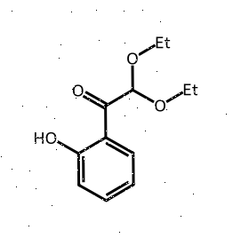 CCOC(OCC)C(=O)c1ccccc1O